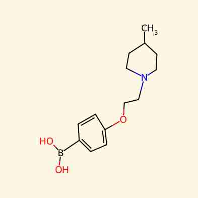 CC1CCN(CCOc2ccc(B(O)O)cc2)CC1